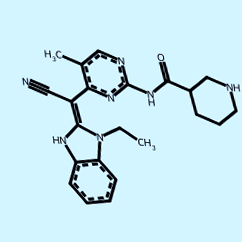 CCN1C(=C(C#N)c2nc(NC(=O)C3CCCNC3)ncc2C)Nc2ccccc21